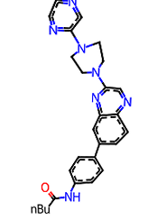 CCCCC(=O)Nc1ccc(-c2ccc3ncc(N4CCN(c5cnccn5)CC4)nc3c2)cc1